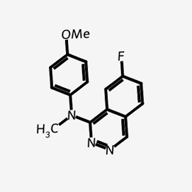 COc1ccc(N(C)c2nncc3ccc(F)cc23)cc1